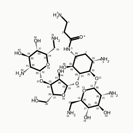 NCCC(=O)N[C@@H]1C[C@H](N)[C@@H](O[C@H]2O[C@H](CN)[C@@H](O)[C@H](O)[C@H]2N)[C@H](O[C@@H]2O[C@H](CO)[C@@H](O[C@H]3O[C@@H](CN)[C@@H](O)[C@H](O)[C@H]3N)[C@H]2O)[C@H]1O